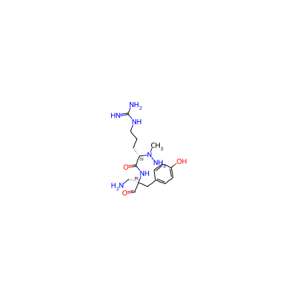 CN(N)[C@@H](CCCNC(=N)N)C(=O)N[C@@](C=O)(CN)Cc1ccc(O)cc1